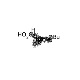 CC(C)(C)OC(=O)N[C@@H](CF)[C@H]1CC[C@H](C(=O)N2CC[C@@H](C3CCCCC3)[C@H]2C(=O)Nc2ccc3[nH]c(C(=O)O)cc3c2)CC1